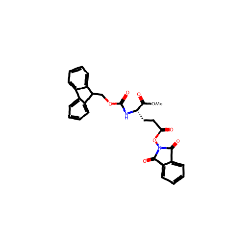 COC(=O)[C@H](CCC(=O)ON1C(=O)c2ccccc2C1=O)NC(=O)OCC1c2ccccc2-c2ccccc21